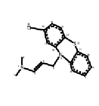 CN(C)C=CCN1c2ccccc2Sc2ccc(Cl)cc21